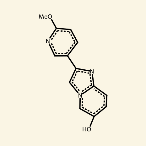 COc1ccc(-c2cn3cc(O)ccc3n2)cn1